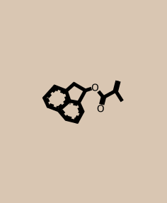 C=C(C)C(=O)OC1Cc2cccc3cccc1c23